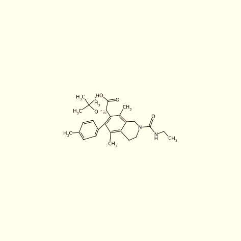 CCNC(=O)N1CCc2c(C)c(-c3ccc(C)cc3)c([C@H](OC(C)(C)C)C(=O)O)c(C)c2C1